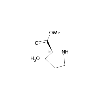 COC(=O)[C@@H]1CCCN1.O